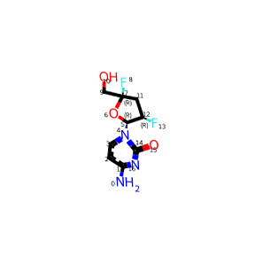 Nc1ccn([C@@H]2O[C@](F)(CO)C[C@H]2F)c(=O)n1